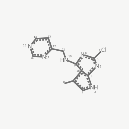 Cc1c[nH]c2nc(Cl)nc(NCc3ccncn3)c12